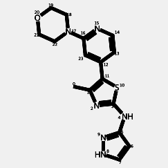 Cc1nc(Nc2cc[nH]n2)sc1-c1ccnc(N2CCOCC2)c1